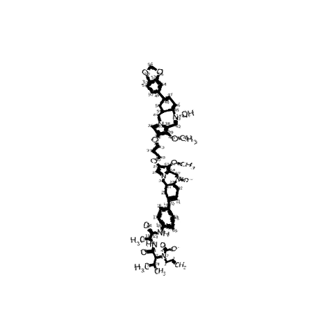 C=CCN(C(=O)[O-])C(C(=O)NC(C)C(=O)Nc1ccc(C2=CC=C3C(C2)Cn2cc(OCCCOc4cn5c(c4OC)C=[N+](O)C4=CC=C(c6ccc7c(c6)OCO7)CC4C5)c(OC)c2C=[N+]3[O-])cc1)C(C)C